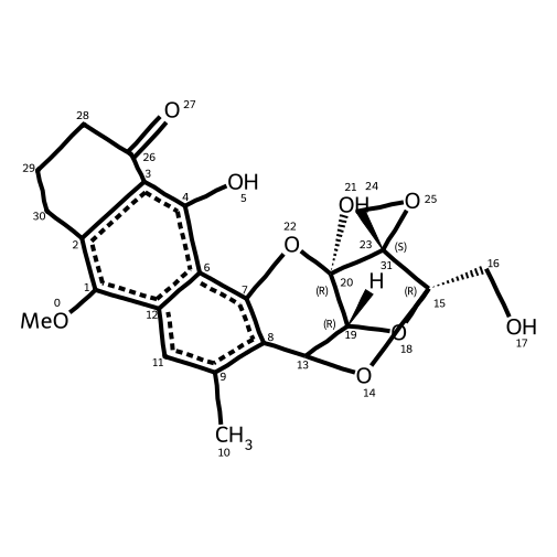 COc1c2c(c(O)c3c4c(c(C)cc13)C1O[C@]3(CO)O[C@H]1[C@@](O)(O4)[C@@]31CO1)C(=O)CCC2